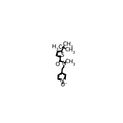 CN(CCc1cc[n+]([O-])cc1)C(=O)c1ccc(C(C)(C)C)s1